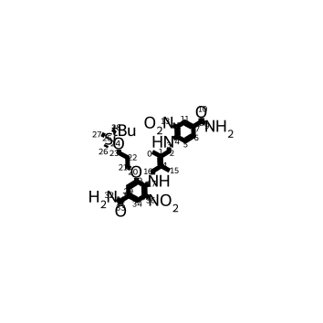 C/C(CNc1ccc(C(N)=O)cc1[N+](=O)[O-])=C(/C)CNc1c(OCCCO[Si](C)(C)C(C)(C)C)cc(C(N)=O)cc1[N+](=O)[O-]